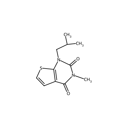 CC(C)Cn1c(=O)n(C)c(=O)c2ccsc21